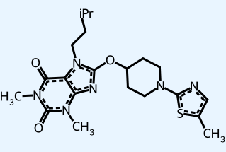 Cc1cnc(N2CCC(Oc3nc4c(c(=O)n(C)c(=O)n4C)n3CCC(C)C)CC2)s1